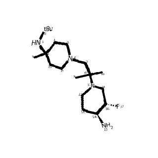 CC(C)(C)NC1(C)CCN(CC(C)(C)N2CC[C@H](N)[C@@H](F)C2)CC1